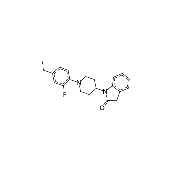 CCc1ccc(N2CCC(N3C(=O)Cc4ccccc43)CC2)c(F)c1